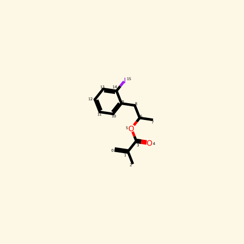 C=C(C)C(=O)OC(C)Cc1ccccc1I